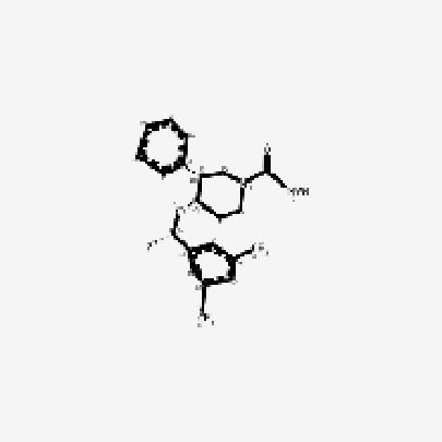 CNC(=O)N1CC[C@H](O[C@@H](C)c2cc(C(F)(F)F)cc(C(F)(F)F)c2)[C@H](c2ccccc2)C1